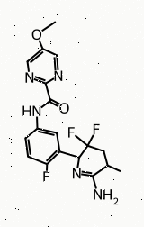 COc1cnc(C(=O)Nc2ccc(F)c(C3N=C(N)C(C)CC3(F)F)c2)nc1